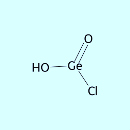 [O]=[Ge]([OH])[Cl]